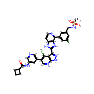 CS(=O)(=O)NCc1cc(F)cc(-c2nccc3[nH]c(-c4n[nH]c5ncc(-c6cncc(NC(=O)C7CCC7)c6)c(F)c45)nc23)c1